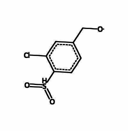 [O]Cc1ccc([SH](=O)=O)c(Cl)c1